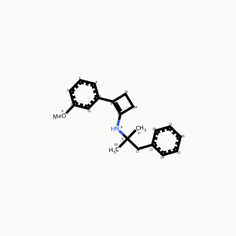 COc1cccc(C2=C(NC(C)(C)Cc3ccccc3)CC2)c1